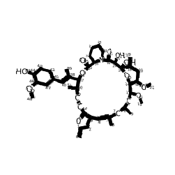 C=CCC1C=C(C)CC(C)CC(OC)C2OC(O)(C(C)CC2OC)C(O)C(=O)N2CCCCC2C(=O)OC(C(C)=CC2CCC(O)C(OC)C2)C(C)CCC1=O